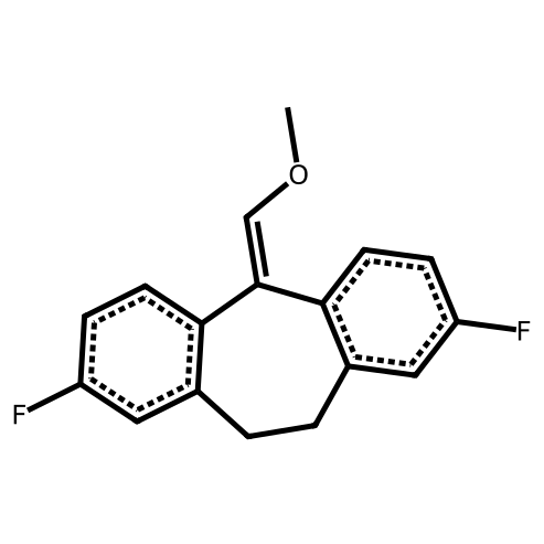 COC=C1c2ccc(F)cc2CCc2cc(F)ccc21